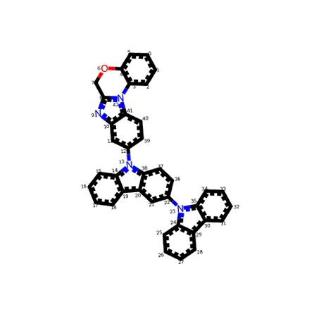 c1ccc2c(c1)OCc1nc3cc(-n4c5ccccc5c5cc(-n6c7ccccc7c7ccccc76)ccc54)ccc3n1-2